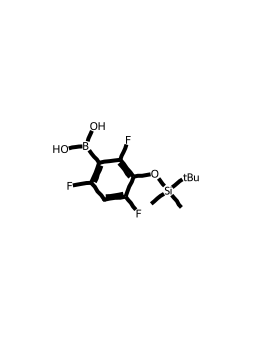 CC(C)(C)[Si](C)(C)Oc1c(F)cc(F)c(B(O)O)c1F